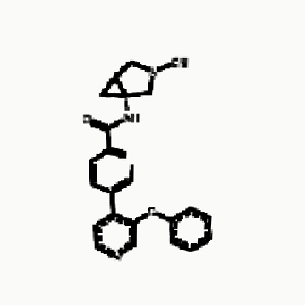 C=C(/C=C\C(=C/C)c1ccncc1Oc1ccccc1)C(=O)N[C@]12CC1CN(C#N)C2